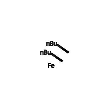 CCCCC.CCCCC.[Fe]